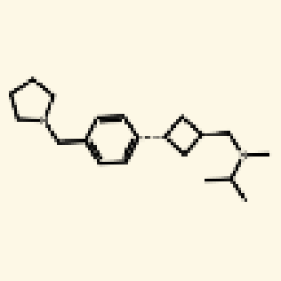 CC(C)N(C)C[C@H]1C[C@H](c2ccc(CN3CCCC3)cc2)C1